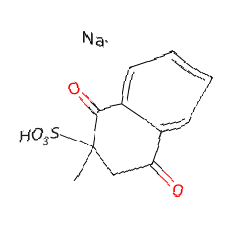 CC1(S(=O)(=O)O)CC(=O)c2ccccc2C1=O.[Na]